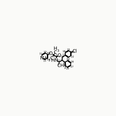 CC(NC(=O)C(C)(C)Oc1ccncc1)C(Cc1ccc(Cl)cc1)c1ccccc1